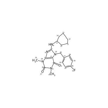 Cn1c(=O)c2c(nc(NC3CCCCC3)n2Cc2ccc(F)cc2)n(C)c1=O